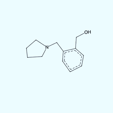 OCc1ccccc1CN1CCCC1